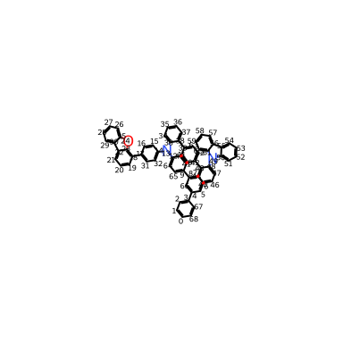 c1ccc(-c2cccc(-c3ccc(N(c4ccc(-c5cccc6c5oc5ccccc56)cc4)c4ccccc4-c4ccc(-c5ccccc5-n5c6ccccc6c6ccccc65)cc4)cc3)c2)cc1